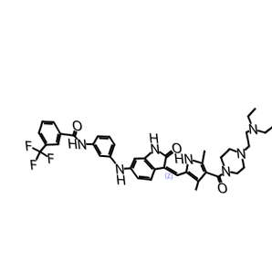 CCN(CC)CCN1CCN(C(=O)c2c(C)[nH]c(/C=C3\C(=O)Nc4cc(Nc5cccc(NC(=O)c6cccc(C(F)(F)F)c6)c5)ccc43)c2C)CC1